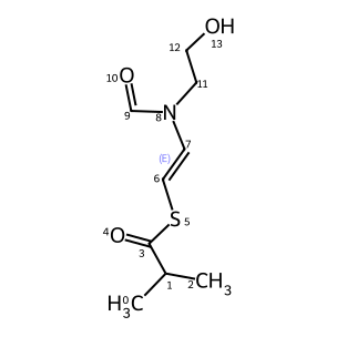 CC(C)C(=O)S/C=C/N(C=O)CCO